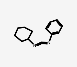 C(=Nc1ccccc1)=NC1CCCCC1